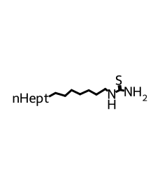 CCCCCCCCCCCCCCNC(N)=S